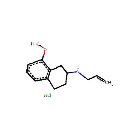 C=CCNC1CCc2cccc(OC)c2C1.Cl